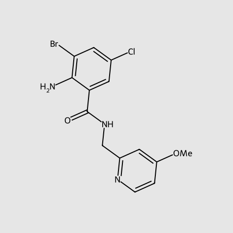 COc1ccnc(CNC(=O)c2cc(Cl)cc(Br)c2N)c1